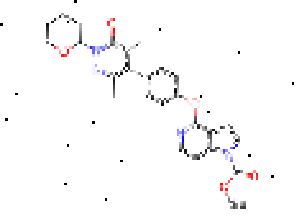 Cc1nn(C2CCCCO2)c(=O)c(C)c1-c1ccc(Oc2nccc3c2ccn3C(=O)OC(C)(C)C)cc1